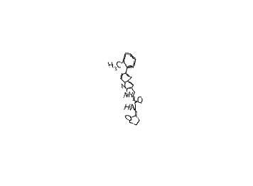 Cc1ccccc1-c1ccc2nc(N)c(CCC(=O)NCC3CCCO3)cc2c1